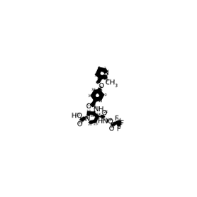 Cc1ncccc1COc1ccc(C(=O)N[C@@H]2CN(C(=O)O)CC[C@@H]2C(=O)NOC(=O)C(F)(F)F)cc1